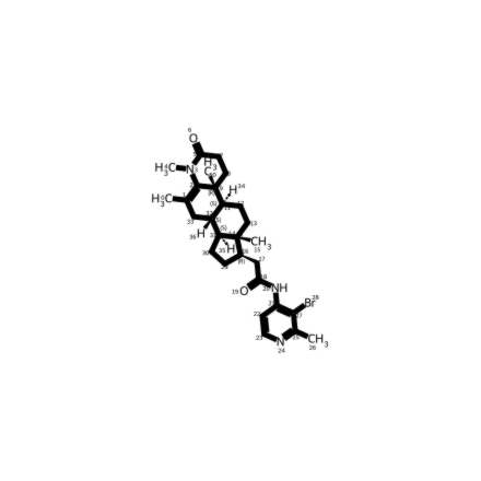 CC1=C2N(C)C(=O)CC[C@]2(C)[C@H]2CC[C@]3(C)[C@@H](CC(=O)Nc4ccnc(C)c4Br)CC[C@H]3[C@@H]2C1